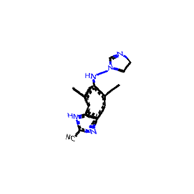 Cc1cc2nc(C#N)[nH]c2c(C)c1NN1C=NCC1